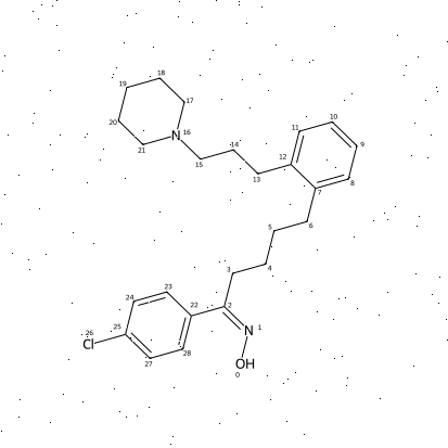 ON=C(CCCCc1ccccc1CCCN1CCCCC1)c1ccc(Cl)cc1